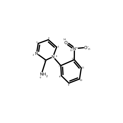 NC1N=CC=CN1c1ccccc1[N+](=O)[O-]